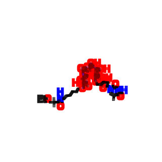 CCOCC(C)(C)C(=O)NCCCCCCOP(=O)(O)OP(=O)(O)OP(=O)(O)OP(=O)(O)OP(=O)(O)OP(=O)(O)OCC1O[C@@H](n2cc(C)c(=O)[nH]c2=O)C[C@H]1O